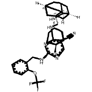 N#Cc1cnc(NCc2ccccc2OC(F)(F)F)nc1NC[C@@]12CC3C[C@H](C1)[C@H](N[C@H]1CC[C@H](O)CC1)[C@@H](C3)C2